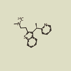 C[C@@H](c1ccccn1)c1c(CCN(C)[14CH3])sc2ccccc12